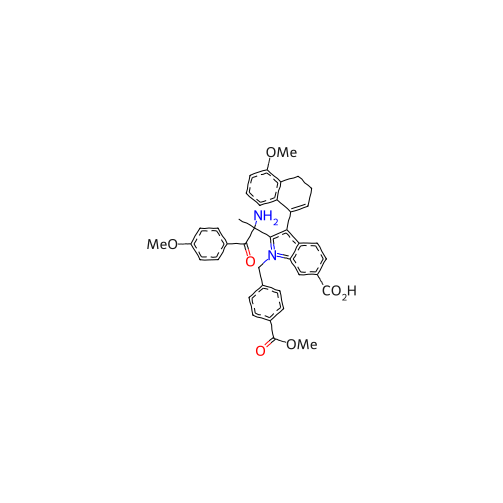 COC(=O)c1ccc(Cn2c(C(C)(N)C(=O)c3ccc(OC)cc3)c(C3=CCCc4c(OC)cccc43)c3ccc(C(=O)O)cc32)cc1